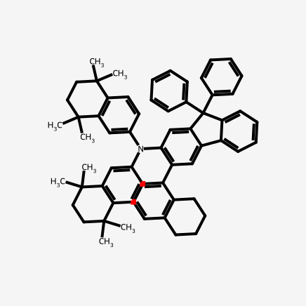 CC1(C)CCC(C)(C)c2cc(N(c3ccc4c(c3)C(C)(C)CCC4(C)C)c3cc4c(cc3-c3cccc5c3CCCC5)-c3ccccc3C4(c3ccccc3)c3ccccc3)ccc21